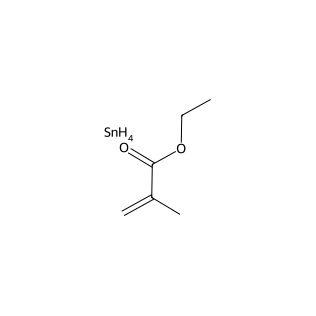 C=C(C)C(=O)OCC.[SnH4]